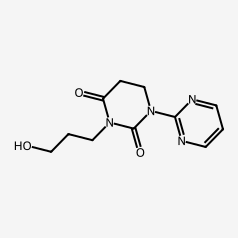 O=C1CCN(c2ncccn2)C(=O)N1CCCO